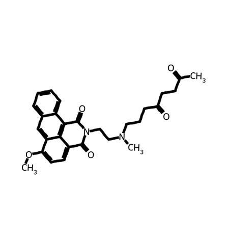 COc1ccc2c3c(c4ccccc4cc13)C(=O)N(CCN(C)CCCC(=O)CCC(C)=O)C2=O